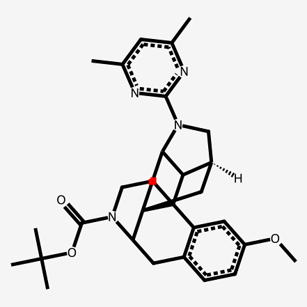 COc1ccc2c(c1)C13CCN(C(=O)OC(C)(C)C)C(C2)C12CCC1C3[C@@H](CN1c1nc(C)cc(C)n1)C2